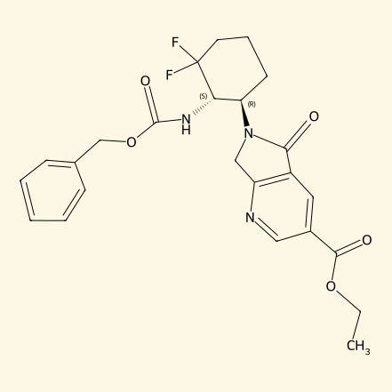 CCOC(=O)c1cnc2c(c1)C(=O)N([C@@H]1CCCC(F)(F)[C@H]1NC(=O)OCc1ccccc1)C2